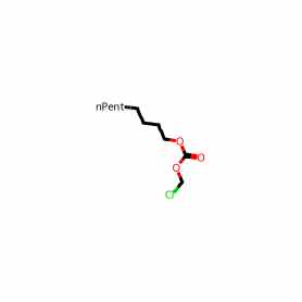 CCCCCCCCCOC(=O)OCCl